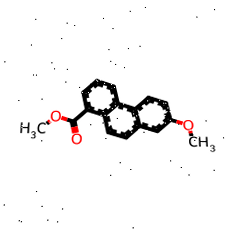 COC(=O)c1cccc2c1ccc1cc(OC)ccc12